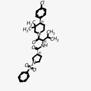 CC(C)[C@@H](NC(=O)[C@@H]1CCN(S(=O)(=O)c2ccccc2)C1)C(=O)N1CC[C@H](c2ccc(Cl)cc2)C(C)(C)C1